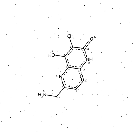 Cc1c(O)c2nc(CN)ccc2[nH]c1=O